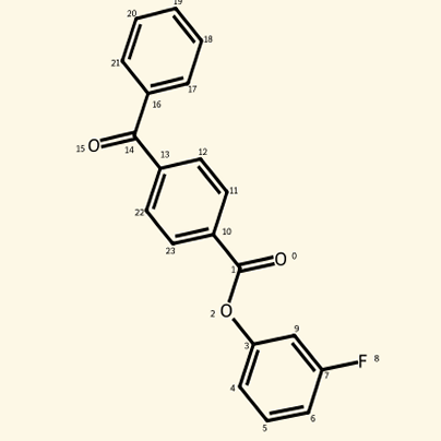 O=C(Oc1cccc(F)c1)c1ccc(C(=O)c2ccccc2)cc1